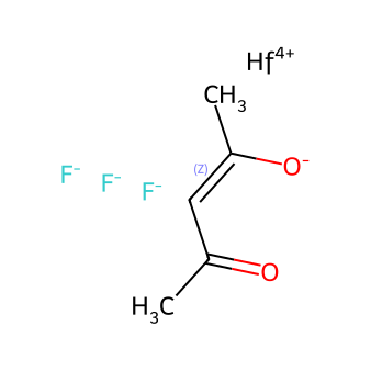 CC(=O)/C=C(/C)[O-].[F-].[F-].[F-].[Hf+4]